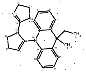 CCC1(C)c2ccccc2N(C2=CCCN2C2=NCCC2)c2ccccc21